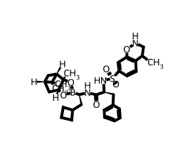 CC1CNOc2cc(S(=O)(=O)N[C@@H](Cc3ccccc3)C(=O)N[C@@H](CC3CCC3)B3O[C@@H]4C[C@@H]5C[C@@H](C5(C)C)[C@]4(C)O3)ccc21